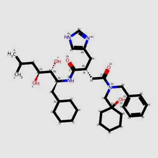 CC(C)C[C@H](O)[C@H](O)[C@H](CC1CCCCC1)NC(=O)[C@@H](CC(=O)N(Cc1ccccc1)CC1(O)CCCCC1)Cc1c[nH]cn1